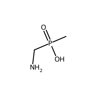 CP(=O)(O)CN